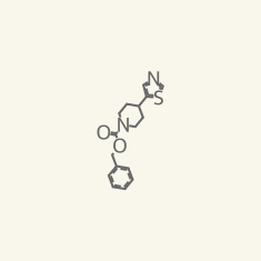 O=C(OCc1ccccc1)N1CCC(c2cncs2)CC1